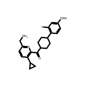 COc1ccc(C2CCC(C(=O)c3nc(CN)ccc3C3CC3)CC2)c(F)c1